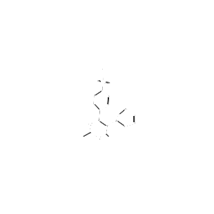 NS(=O)(=O)c1ccc(-c2[nH]c(=S)[nH]c(=O)c2-c2ccccc2)cc1